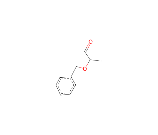 [CH2]C(C=O)OCc1ccccc1